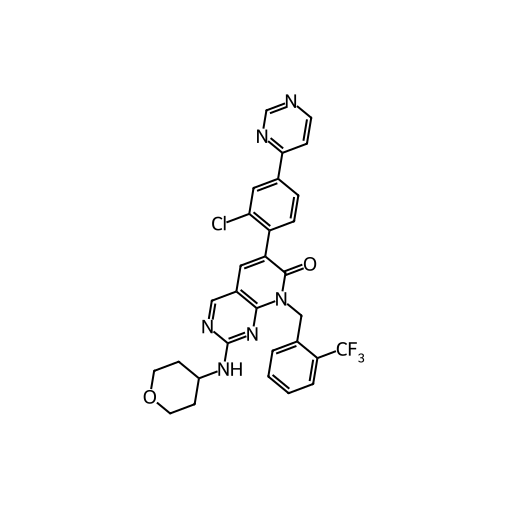 O=c1c(-c2ccc(-c3ccncn3)cc2Cl)cc2cnc(NC3CCOCC3)nc2n1Cc1ccccc1C(F)(F)F